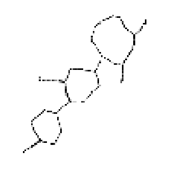 CC1CCC(C2CCC(C3CCCC(F)CC3F)CC2F)CC1